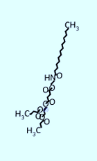 CCCCCCCCCCCCCCCC(=O)NCCOC(=O)CCC(=O)O/C=C(/COC(=O)CCC)OC(=O)CCC